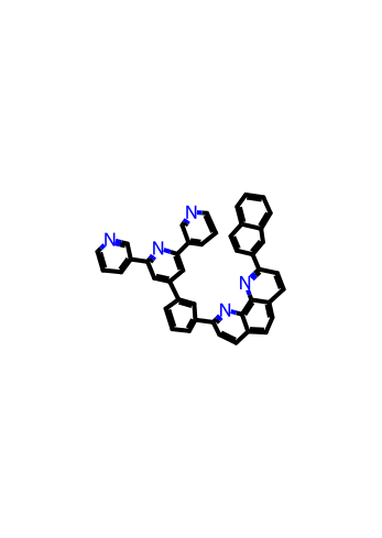 c1cncc(-c2cc(-c3cccc(-c4ccc5ccc6ccc(-c7ccc8ccccc8c7)nc6c5n4)c3)cc(-c3cccnc3)n2)c1